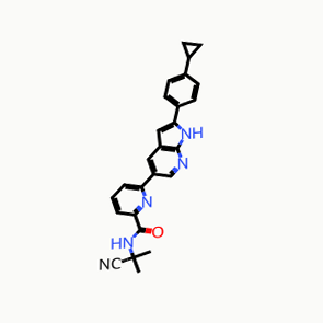 CC(C)(C#N)NC(=O)c1cccc(-c2cnc3[nH]c(-c4ccc(C5CC5)cc4)cc3c2)n1